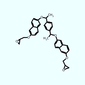 CC(Oc1ccc2cc(OCC3CO3)ccc2c1)c1ccc(C(C)Oc2ccc3cc(OCC4CO4)ccc3c2)cc1